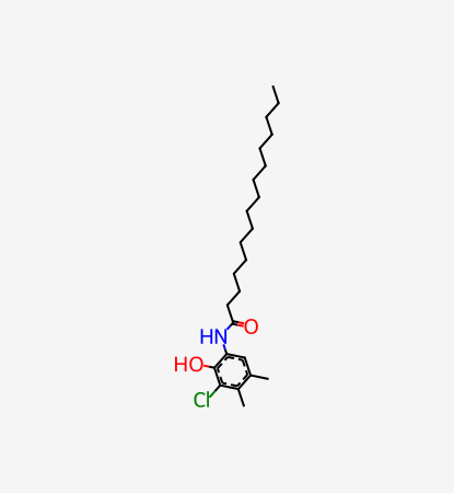 CCCCCCCCCCCCCCCC(=O)Nc1cc(C)c(C)c(Cl)c1O